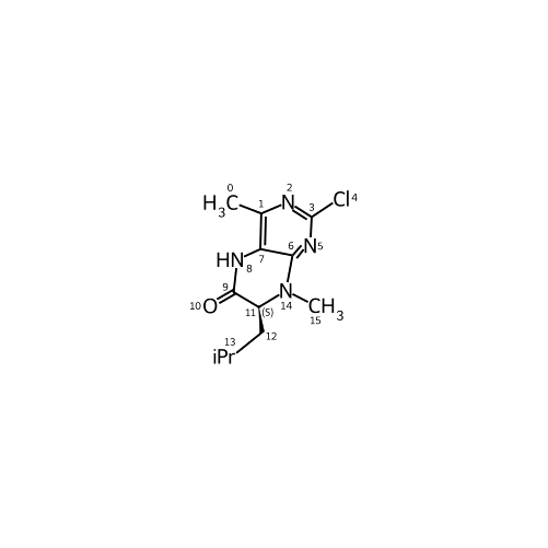 Cc1nc(Cl)nc2c1NC(=O)[C@H](CC(C)C)N2C